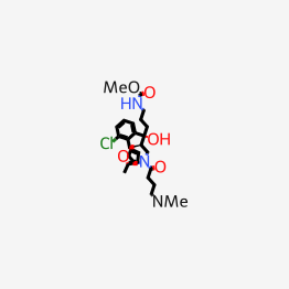 CNCCCC(=O)N1CCC[C@@H]([C@@](O)(CCCNC(=O)OC)c2cccc(Cl)c2-c2ccc(C)o2)C1